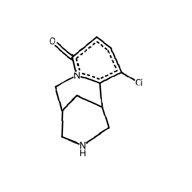 O=c1ccc(Cl)c2n1CC1CNCC2C1